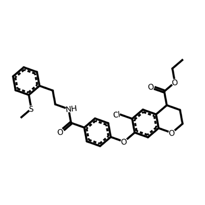 CCOC(=O)C1CCOc2cc(Oc3ccc(C(=O)NCCc4ccccc4SC)cc3)c(Cl)cc21